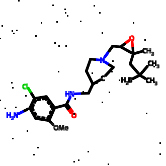 BC(C)(C)CC1(C)OC1CN1CCC(CNC(=O)c2cc(Cl)c(N)cc2OC)CC1